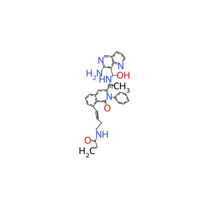 C=CC(=O)NCCC#Cc1cccc2cc([C@H](C)NC(O)c3c(N)ncc4cccnc34)n(-c3ccccc3)c(=O)c12